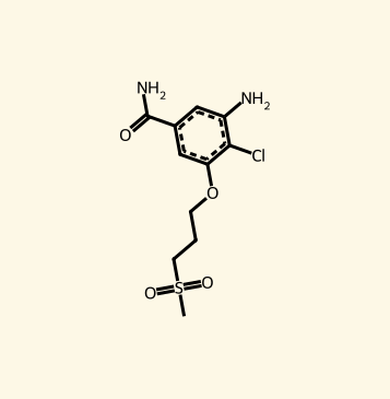 CS(=O)(=O)CCCOc1cc(C(N)=O)cc(N)c1Cl